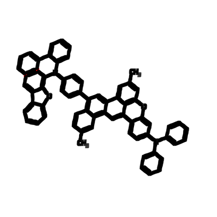 Cc1ccc2c(-c3ccc(N(c4ccccc4-c4ccccc4)c4cccc5c4oc4ccccc45)cc3)cc3c4cc(C)cc5c4c(cc3c2c1)-c1ccc(N(c2ccccc2)c2ccccc2)cc1O5